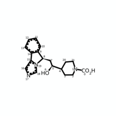 O=C(O)N1CCC([C@@H](O)C[C@@H]2c3ccccc3-c3cncn32)CC1